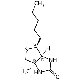 CCCCC[C@@H]1SC[C@]2(C)NC(=O)N[C@H]12